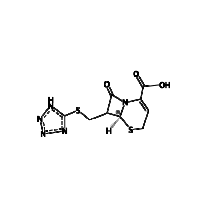 O=C(O)C1=CCS[C@H]2C(CSc3nnn[nH]3)C(=O)N12